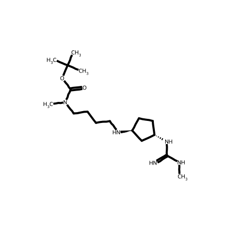 CNC(=N)N[C@H]1CC[C@H](NCCCCN(C)C(=O)OC(C)(C)C)C1